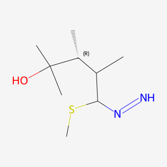 CSC(N=N)C(C)[C@@H](C)C(C)(C)O